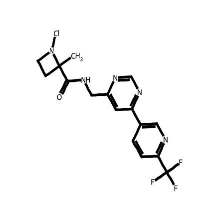 CC1(C(=O)NCc2cc(-c3ccc(C(F)(F)F)nc3)ncn2)CCN1Cl